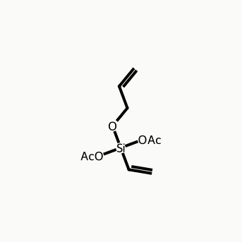 C=CCO[Si](C=C)(OC(C)=O)OC(C)=O